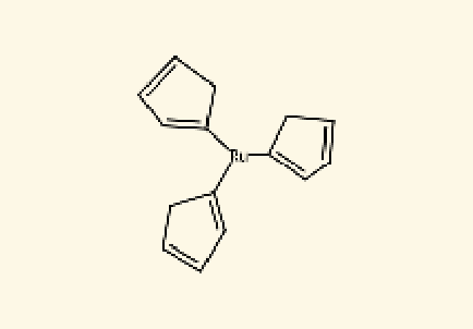 C1=CC[C]([Ru]([C]2=CC=CC2)[C]2=CC=CC2)=C1